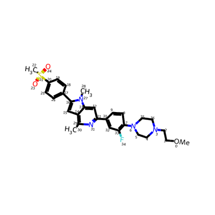 COCCN1CCN(c2ccc(-c3cc4c(cc(-c5ccc(S(C)(=O)=O)cc5)n4C)c(C)n3)cc2F)CC1